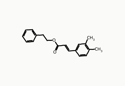 Cc1ccc(/C=C/C(=O)OCCc2ccccc2)cc1C